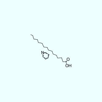 CCCCCCCCCCCCCCCC(=O)O.c1ccncc1